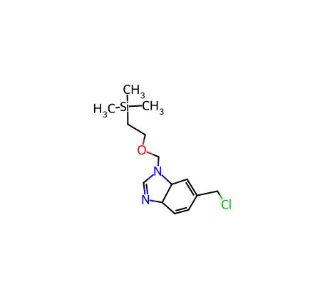 C[Si](C)(C)CCOCN1C=NC2C=CC(CCl)=CC21